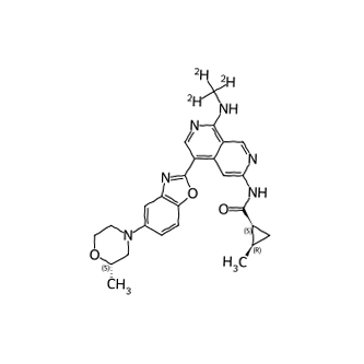 [2H]C([2H])([2H])Nc1ncc(-c2nc3cc(N4CCO[C@@H](C)C4)ccc3o2)c2cc(NC(=O)[C@H]3C[C@H]3C)ncc12